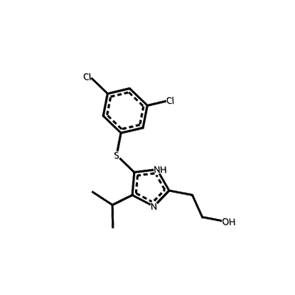 CC(C)c1nc(CCO)[nH]c1Sc1cc(Cl)cc(Cl)c1